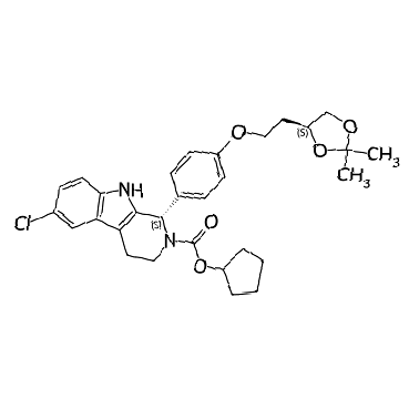 CC1(C)OC[C@H](CCOc2ccc([C@H]3c4[nH]c5ccc(Cl)cc5c4CCN3C(=O)OC3CCCC3)cc2)O1